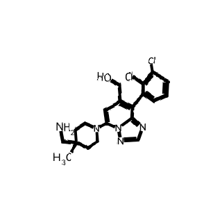 CC1(CN)CCN(c2cc(CO)c(-c3cccc(Cl)c3Cl)c3ncnn23)CC1